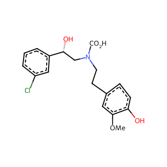 COc1cc(CCN(C[C@@H](O)c2cccc(Cl)c2)C(=O)O)ccc1O